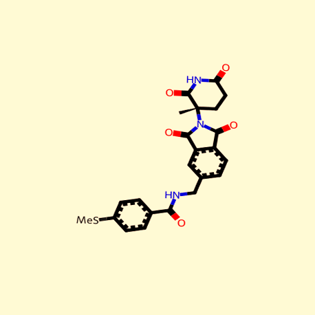 CSc1ccc(C(=O)NCc2ccc3c(c2)C(=O)N([C@@]2(C)CCC(=O)NC2=O)C3=O)cc1